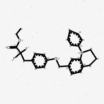 CCOC(=O)C(F)(F)Cc1ccc(OCc2ccc3c(c2)N(c2ccccc2)CCC3)cc1